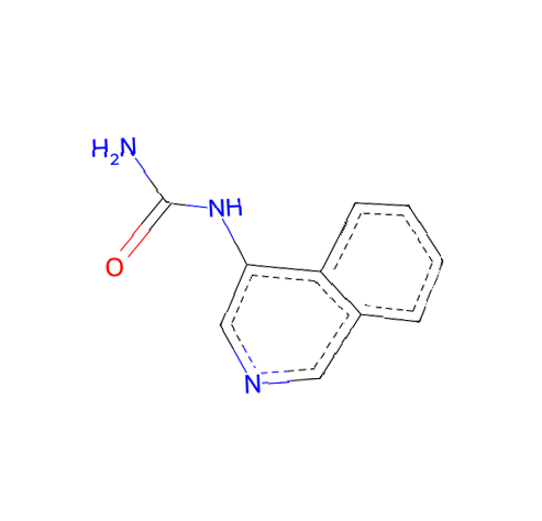 NC(=O)Nc1cncc2ccccc12